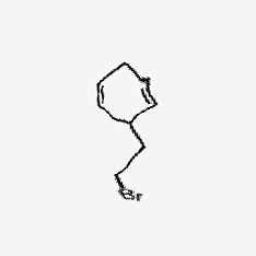 BrCCC1C=CCC=C1